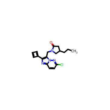 CCCC1CC(=O)N(Cc2c(C3=CC=C3)nc3ccc(Cl)nn23)C1